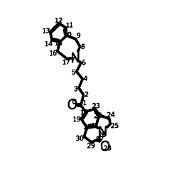 O=C(CCCCCN1CCc2ccccc2CC1)c1cc2c3c(c1)CCN3C(=O)CC2